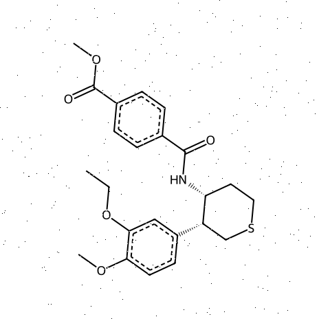 CCOc1cc([C@H]2CSCC[C@H]2NC(=O)c2ccc(C(=O)OC)cc2)ccc1OC